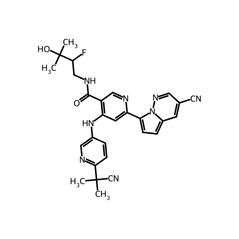 CC(C)(C#N)c1ccc(Nc2cc(-c3ccc4cc(C#N)cnn34)ncc2C(=O)NCC(F)C(C)(C)O)cn1